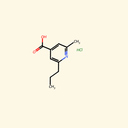 CCCc1cc(C(=O)O)cc(C)n1.Cl